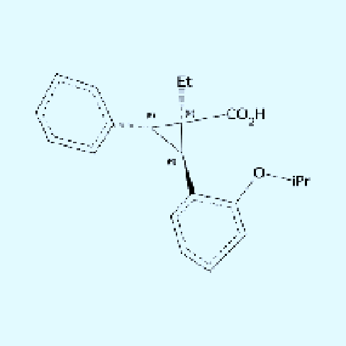 CC[C@@]1(C(=O)O)[C@@H](c2ccccc2)[C@@H]1c1ccccc1OC(C)C